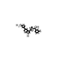 Cn1cc(-c2cnc3[nH]cc(-c4nnc(C(O)c5cccc(F)c5)o4)c3c2)cn1